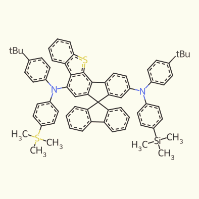 CC(C)(C)c1ccc(N(c2ccc([Si](C)(C)C)cc2)c2ccc3c(c2)C2(c4ccccc4-c4ccccc42)c2cc(N(c4ccc(C(C)(C)C)cc4)c4ccc(S(C)(C)C)cc4)c4c(sc5ccccc54)c2-3)cc1